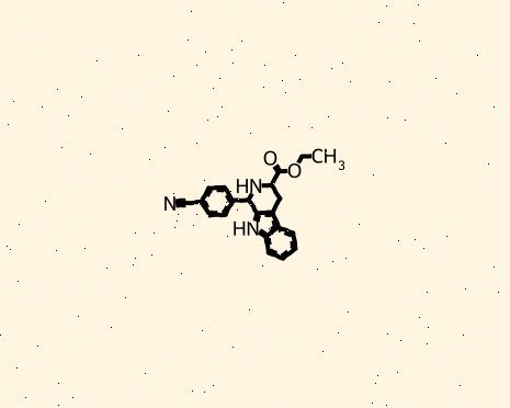 CCOC(=O)C1Cc2c([nH]c3ccccc23)C(c2ccc(C#N)cc2)N1